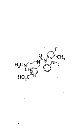 Cc1cc(N(C(=O)N(CCCN(C)C)Cc2ccc(C(=O)O)nc2)c2ccccc2N)ccc1F